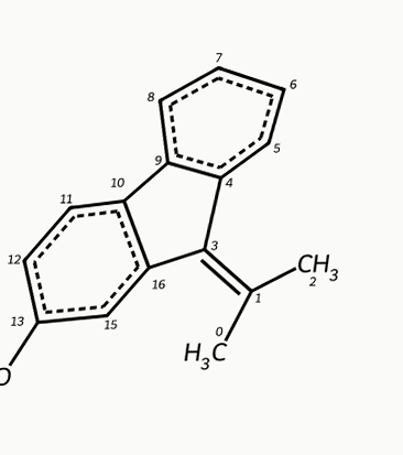 CC(C)=C1c2ccccc2-c2ccc(O)cc21